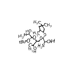 CC(O)C(COC(OC1CC(C)(C)CC1C)C(N)O)OC(OC(C)(C)C)C(N)O